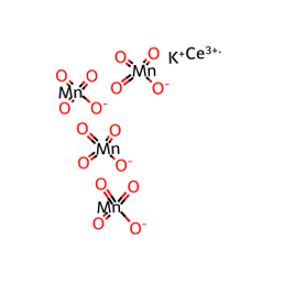 [Ce+3].[K+].[O]=[Mn](=[O])(=[O])[O-].[O]=[Mn](=[O])(=[O])[O-].[O]=[Mn](=[O])(=[O])[O-].[O]=[Mn](=[O])(=[O])[O-]